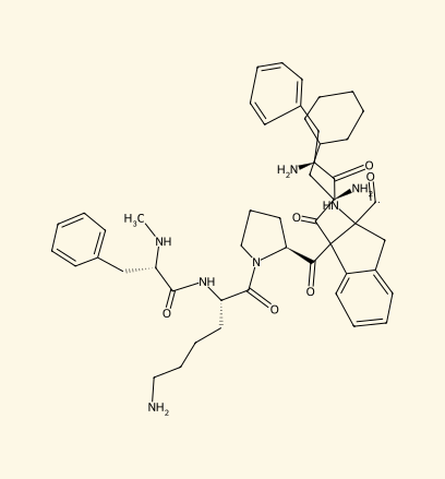 CN[C@@H](Cc1ccccc1)C(=O)N[C@@H](CCCCN)C(=O)N1CCC[C@H]1C(=O)C1(C(=O)[C@H](N)CC2CCCCC2)c2ccccc2CC1([C]=O)NC(=O)[C@@H](N)Cc1ccccc1